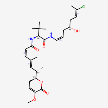 COC1=CC[C@@H]([C@@H](C)/C=C(C)/C=C\C(=O)N[C@H](C(=O)N/C=C\C[C@@H](O)C/C=C(\C)Cl)C(C)(C)C)OC1=O